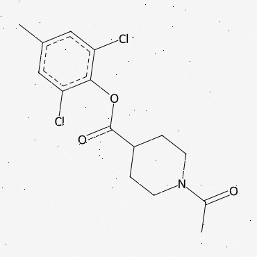 CC(=O)N1CCC(C(=O)Oc2c(Cl)cc(C)cc2Cl)CC1